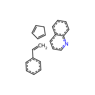 C1=CCC=C1.C=Cc1ccccc1.c1ccc2ncccc2c1